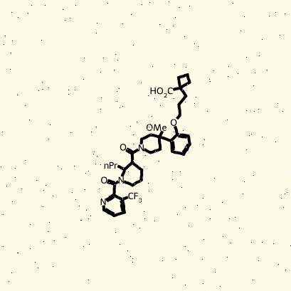 CCCC1C(C(=O)N2CCC(OC)(c3ccccc3OCCCC3(C(=O)O)CCC3)CC2)CCCN1C(=O)c1ncccc1C(F)(F)F